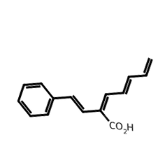 C=CC=CC=C(C=Cc1ccccc1)C(=O)O